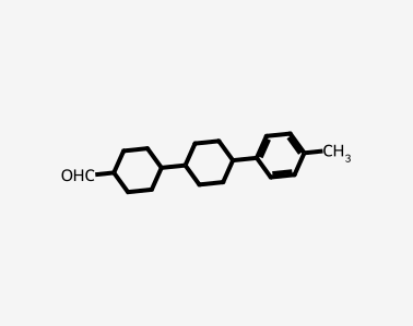 Cc1ccc(C2CCC(C3CCC(C=O)CC3)CC2)cc1